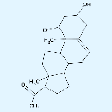 CC(=O)C1CCC2C3CC=C4CC(O)CC([O])C4(C)C3CCC12C